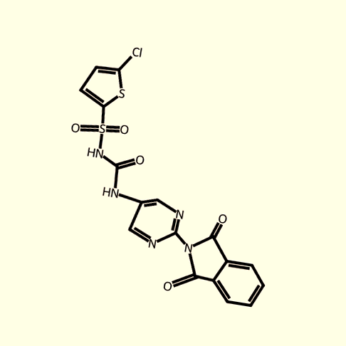 O=C(Nc1cnc(N2C(=O)c3ccccc3C2=O)nc1)NS(=O)(=O)c1ccc(Cl)s1